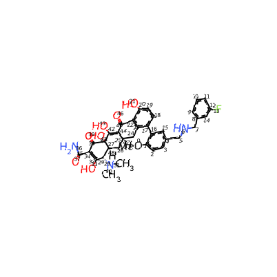 COc1ccc(CNCc2cccc(F)c2)cc1-c1ccc(O)c2c1C[C@H]1C[C@H]3[C@H](N(C)C)C(O)=C(C(N)=O)C(=O)[C@@]3(O)C(O)=C1C2=O